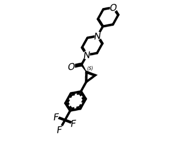 O=C([C@H]1CC1c1ccc(C(F)(F)F)cc1)N1CCN(C2CCOCC2)CC1